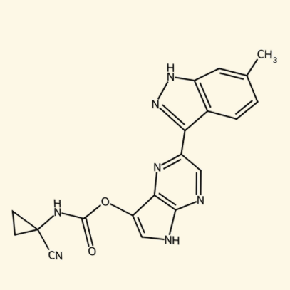 Cc1ccc2c(-c3cnc4[nH]cc(OC(=O)NC5(C#N)CC5)c4n3)n[nH]c2c1